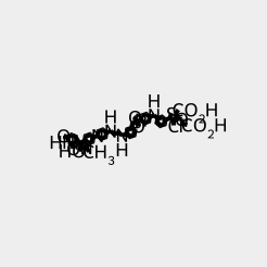 CN1c2cc(N3CCC(NCCNc4cccc(CS(=O)(=O)N5CCC(Nc6cccc(-c7sc(C(=O)O)c(OCC(=O)O)c7Cl)c6)CC5)c4)CC3)ccc2N(C2CCC(=O)NC2=O)C1O